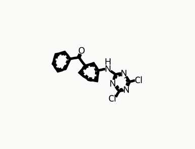 O=C(c1ccccc1)c1cccc(Nc2nc(Cl)nc(Cl)n2)c1